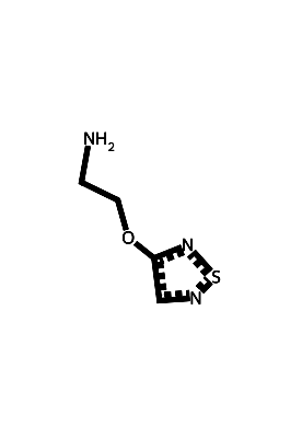 NCCOc1cnsn1